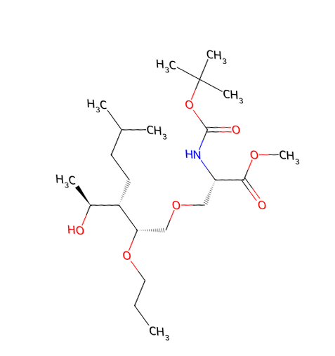 CCCO[C@@H](COC[C@H](NC(=O)OC(C)(C)C)C(=O)OC)[C@@H](CCC(C)C)[C@H](C)O